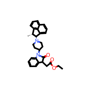 CCOC(=O)CC1C(=O)N(C2CCN([C@H]3c4cccc5cccc(c45)[C@H]3C)CC2)c2ccccc21